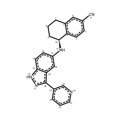 N#Cc1ccc2c(c1)CCC[C@@H]2Nc1ccc2[nH]nc(-c3cccnc3)c2c1